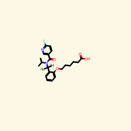 [2H]C([2H])(c1ccccc1OCCCCCC(=O)O)N(C(=O)c1ccc(F)nc1)C(C)C